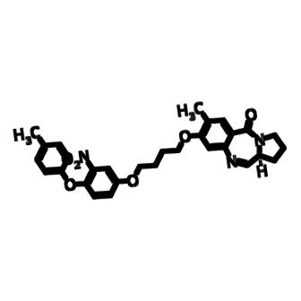 Cc1ccc(Oc2ccc(OCCCCOc3cc4c(cc3C)C(=O)N3CCC[C@H]3C=N4)cc2[N+](=O)[O-])cc1